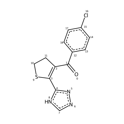 O=C(C1=C(c2nnc[nH]2)SCC1)c1ccc(Cl)cc1